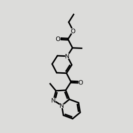 CCOC(=O)C(C)N1C=C(C(=O)c2c(C)nn3ccccc23)CCC1